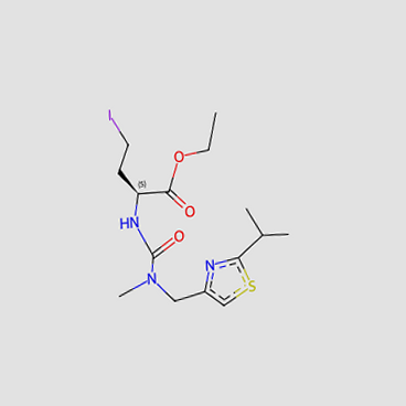 CCOC(=O)[C@H](CCI)NC(=O)N(C)Cc1csc(C(C)C)n1